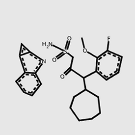 COc1c(F)cccc1C(C(=O)CS(N)(=O)=O)C1CCCCCC1.c1ccc2c3cc-3nc2c1